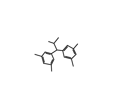 Cc1cc(C)cc(C(c2cc(C)cc(C)c2)C(C)C)c1